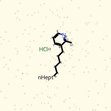 CCCCCCCCCCCCc1cccnc1C.Cl